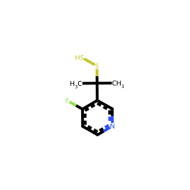 CC(C)(SS)c1cnccc1F